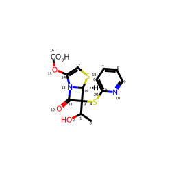 CC(O)C1(Sc2ccccn2)C(=O)N2C(OC(=O)O)=CS[C@H]21